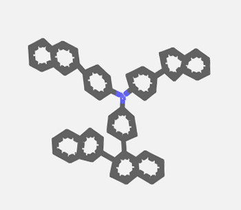 c1ccc2cc(-c3ccc(N(c4ccc(-c5ccc6ccccc6c5)cc4)c4ccc(-c5c(-c6ccc7ccccc7c6)ccc6ccccc56)cc4)cc3)ccc2c1